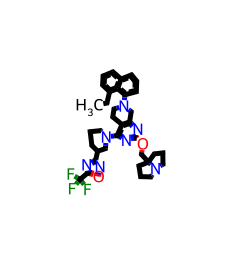 CCc1cccc2cccc(N3CCc4c(nc(OCC56CCCN5CCC6)nc4N4CCCC(c5noc(C(F)(F)F)n5)C4)C3)c12